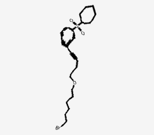 O=S(=O)(c1cccc(C#CCCOCCCCCCBr)c1)C1CCCCC1